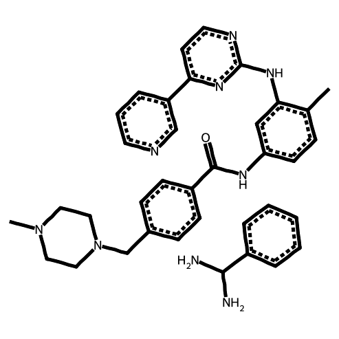 Cc1ccc(NC(=O)c2ccc(CN3CCN(C)CC3)cc2)cc1Nc1nccc(-c2cccnc2)n1.NC(N)c1ccccc1